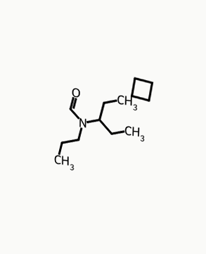 C1CCC1.CCCN(C=O)C(CC)CC